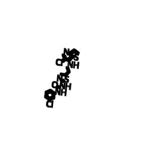 O=C(NC1=NCC(CCNc2c(Cl)cnc3ccsc23)S1)Nc1cccc(Cl)c1